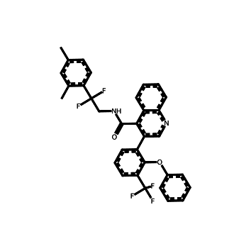 Cc1ccc(C(F)(F)CNC(=O)c2c(-c3cccc(C(F)(F)F)c3Oc3ccccc3)cnc3ccccc23)c(C)c1